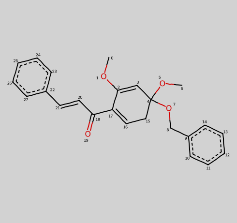 COC1=CC(OC)(OCc2ccccc2)CC=C1C(=O)C=Cc1ccccc1